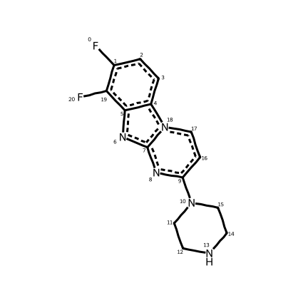 Fc1ccc2c(nc3nc(N4CCNCC4)ccn32)c1F